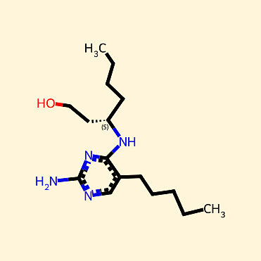 CCCCCc1cnc(N)nc1N[C@H](CCO)CCCC